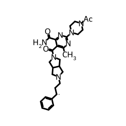 CC(=O)N1CCN(c2nc(C)c(C(=O)N3CC4CN(CC[CH]c5ccccc5)CC4C3)c(C(N)=O)n2)CC1